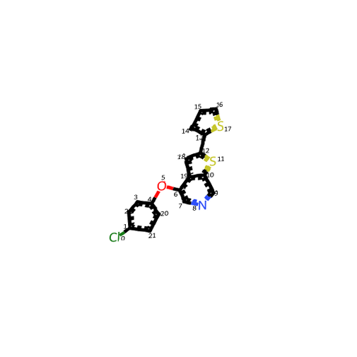 Clc1ccc(Oc2cncc3sc(-c4cccs4)cc23)cc1